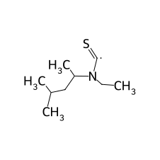 CCN([C]=S)C(C)CC(C)C